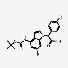 CC(C)(C)OC(=O)Nc1cc(F)cc2c1ccn2C(C(=O)O)c1ccc(Cl)cc1